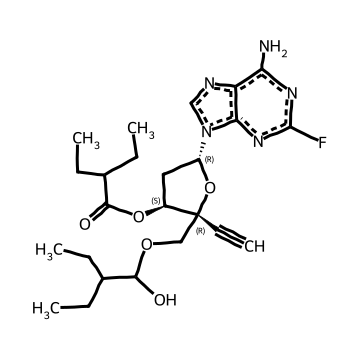 C#C[C@]1(COC(O)C(CC)CC)O[C@@H](n2cnc3c(N)nc(F)nc32)C[C@@H]1OC(=O)C(CC)CC